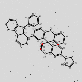 C1=CC2=C(CC1)C1C=CCC(c3ccc4c(c3)C3(c5ccccc5Sc5cc(C6CC=CN6)ccc53)c3ccccc3S4)C1N2c1ccccc1